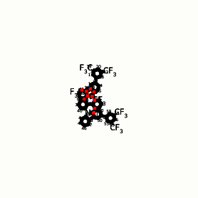 N#Cc1cccc(-n2c3ccccc3c3cc(-c4cc(C(F)(F)F)cc(C(F)(F)F)c4)ccc32)c1-c1c(-c2c(C(F)(F)F)cccc2C(F)(F)F)cccc1-n1c2ccccc2c2cc(-c3cc(C(F)(F)F)cc(C(F)(F)F)c3)ccc21